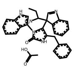 CC(=O)O.CCC(N)C1(c2c(Cc3ccccc3)[nH]c(=O)n2-c2c[nH]c3ccccc23)C=Nc2ccccc21